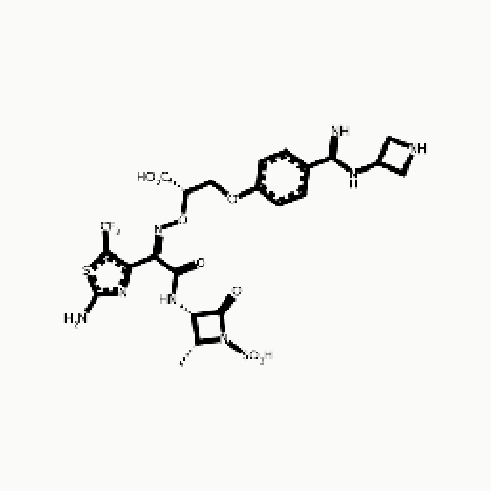 C[C@@H]1[C@H](NC(=O)/C(=N\O[C@@H](COc2ccc(C(=N)NC3CNC3)cc2)C(=O)O)c2nc(N)sc2C(F)(F)F)C(=O)N1S(=O)(=O)O